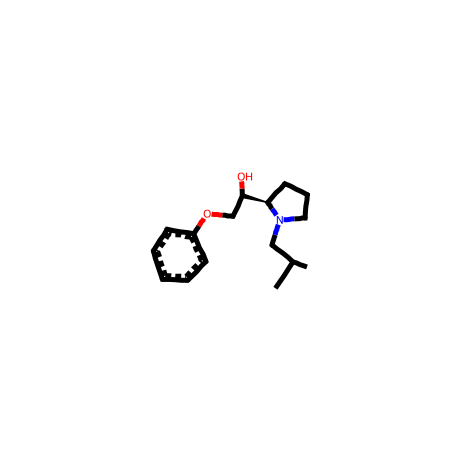 C[C](C)CN1CCC[C@@H]1C(O)COc1ccccc1